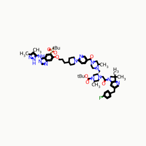 Cc1n[nH]c(Nc2ncnc3cc(OCCCC4CCN(c5ccc(C(=O)N6CCN(C[C@H]7CN(C(=O)OC(C)(C)C)[C@H](C)CN7CC(=O)N7CC(C)(C)c8ncc(Cc9ccc(F)cc9)cc87)C(C)C6)cn5)CC4)c(S(=O)(=O)C(C)(C)C)cc23)c1C